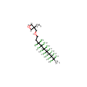 CC1(COCCC(F)(F)C(F)(F)C(F)(F)C(F)(F)C(F)(F)C(F)(F)C(F)(F)C(F)(F)F)COC1